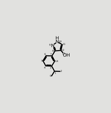 CC(C)c1cccc(-c2n[nH]cc2O)c1